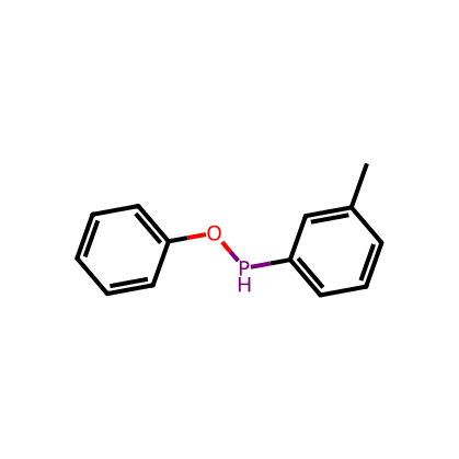 Cc1cccc(POc2ccccc2)c1